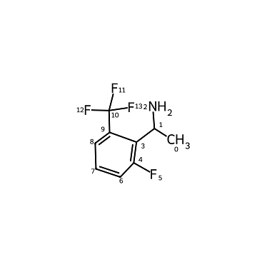 CC(N)c1c(F)cccc1C(F)(F)F